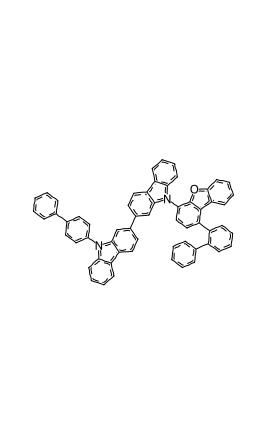 c1ccc(-c2ccc(-n3c4ccccc4c4ccc(-c5ccc6c7ccccc7n(-c7ccc(-c8ccccc8-c8ccccc8)c8c7oc7ccccc78)c6c5)cc43)cc2)cc1